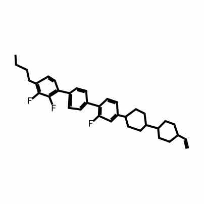 C=CC1CCC(C2CCC(c3ccc(-c4ccc(-c5ccc(CCCC)c(F)c5F)cc4)c(F)c3)CC2)CC1